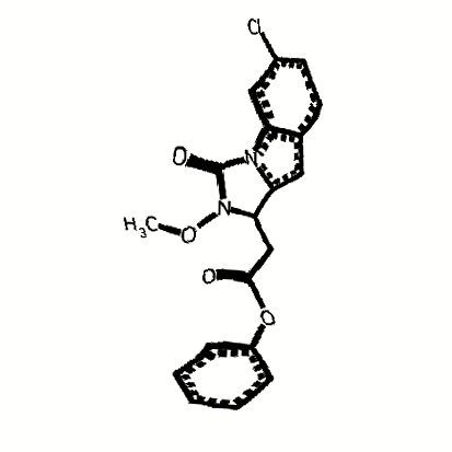 CON1C(=O)n2c(cc3ccc(Cl)cc32)C1CC(=O)Oc1ccccc1